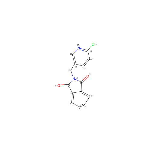 O=C1c2ccccc2C(=O)N1Cc1ccc(Cl)nc1